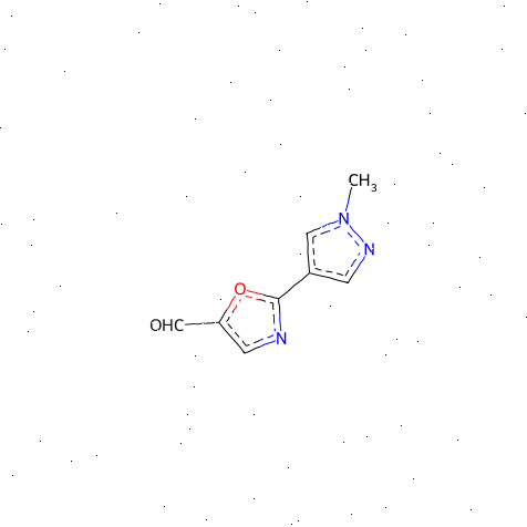 Cn1cc(-c2ncc(C=O)o2)cn1